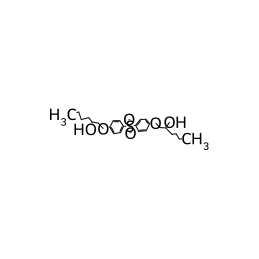 CCCCC(O)COc1ccc(S(=O)(=O)c2ccc(OCC(O)CCCC)cc2)cc1